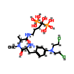 C[C@@H](C(=O)NCCCC(O)(P(=O)(O)O)P(=O)(O)O)N(C=O)C(=O)[C@@H](N)Cc1ccc(N(CCCl)CCCl)cc1